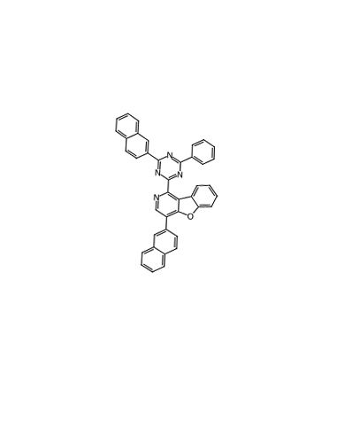 c1ccc(-c2nc(-c3ccc4ccccc4c3)nc(-c3ncc(-c4ccc5ccccc5c4)c4oc5ccccc5c34)n2)cc1